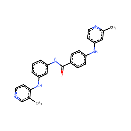 Cc1cc(Nc2ccc(C(=O)Nc3cccc(Nc4ccncc4C)c3)cc2)ccn1